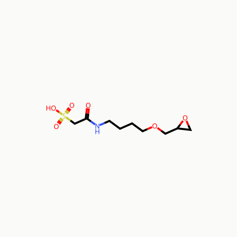 O=C(CS(=O)(=O)O)NCCCCOCC1CO1